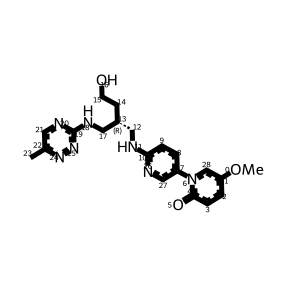 COc1ccc(=O)n(-c2ccc(NC[C@@H](CCO)CNc3ncc(C)nn3)nc2)c1